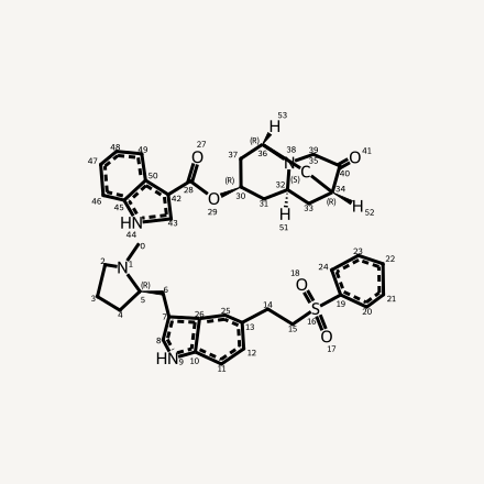 CN1CCC[C@@H]1Cc1c[nH]c2ccc(CCS(=O)(=O)c3ccccc3)cc12.O=C(O[C@@H]1C[C@@H]2C[C@@H]3C[C@H](C1)N2CC3=O)c1c[nH]c2ccccc12